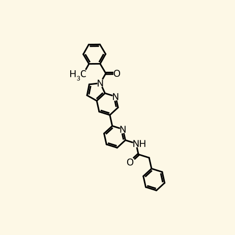 Cc1ccccc1C(=O)n1ccc2cc(-c3cccc(NC(=O)Cc4ccccc4)n3)cnc21